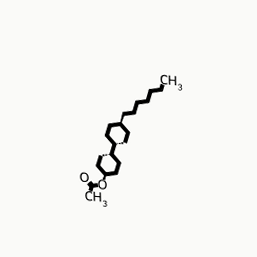 CCCCCCC[C@H]1CC[C@H]([C@H]2CC[C@H](OC(C)=O)CC2)CC1